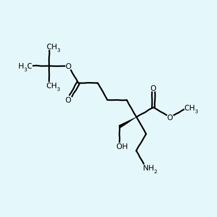 COC(=O)[C@](CO)(CCN)CCCC(=O)OC(C)(C)C